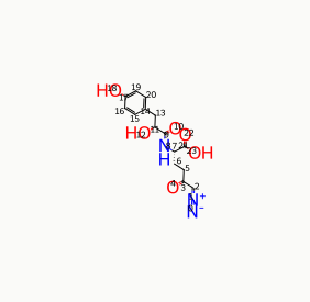 [N-]=[N+]=CC(=O)CC[C@H](NC(=O)[C@@H](O)Cc1ccc(O)cc1)C(=O)O